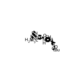 Cc1cc(OC2CN(C(=O)OC(C)(C)C)C2)ccc1NC(=O)N1CCN(c2nc(N)nc3scnc23)[C@@H](C)C1